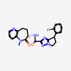 CN1C(=O)[C@@H](NC(=O)c2nc3n(n2)CCC3c2ccccc2F)CCc2ncccc21